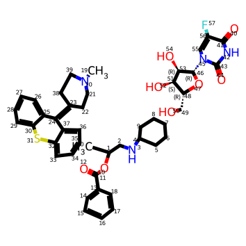 CC(CNC1CCCCC1)OC(=O)c1ccccc1.CN1CCC(=C2c3ccccc3Sc3ccccc32)CC1.O=c1[nH]c(=O)n([C@@H]2O[C@H](CO)[C@@H](O)[C@H]2O)cc1F